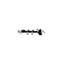 CN1C(=O)C[C@H](C(=O)NCCOCCC(=O)NCCOCC(=O)NCCOCC(=O)OC(C)(C)C)[C@H]1c1cccnc1